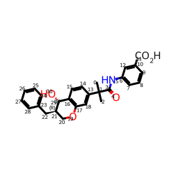 CC(C)(C(=O)Nc1cccc(C(=O)O)c1)c1ccc2c(c1)OC[C@@H](Cc1ccccc1)[C@@H]2O